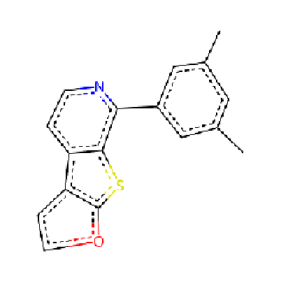 Cc1cc(C)cc(-c2nccc3c2sc2occc23)c1